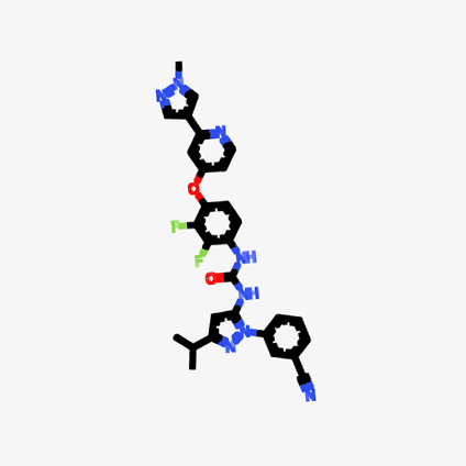 CC(C)c1cc(NC(=O)Nc2ccc(Oc3ccnc(-c4cnn(C)c4)c3)c(F)c2F)n(-c2cccc(C#N)c2)n1